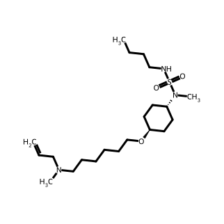 C=CCN(C)CCCCCCO[C@H]1CC[C@H](N(C)S(=O)(=O)NCCCC)CC1